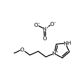 COCCC[n+]1cc[nH]c1.O=[N+]([O-])[O-]